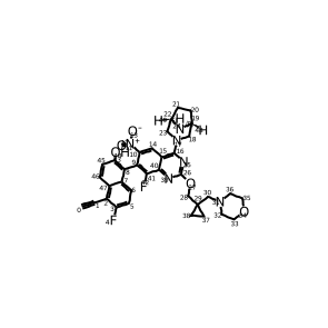 C#Cc1c(F)ccc2c(-c3c([N+](=O)[O-])cc4c(N5C[C@H]6CC[C@@H](C5)N6)nc(OCC5(CN6CCOCC6)CC5)nc4c3F)c(O)ccc12